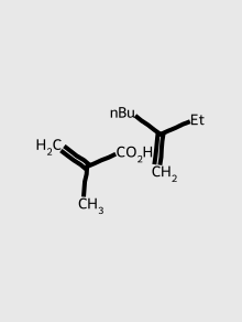 C=C(C)C(=O)O.C=C(CC)CCCC